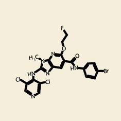 Cn1c(Nc2c(Cl)cncc2Cl)nc2cc(C(=O)Nc3ccc(Br)cc3)c(OCCF)nc21